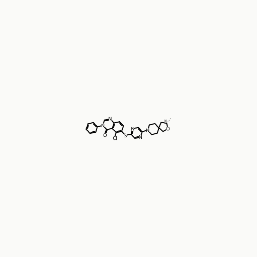 C[C@H]1CC2(CCN(c3cnc(Sc4ccc5ncn(-c6ccccc6)c(=O)c5c4Cl)cn3)CC2)CO1